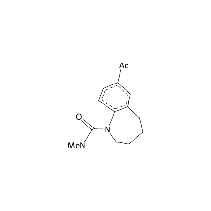 CNC(=O)N1CCCCc2cc(C(C)=O)ccc21